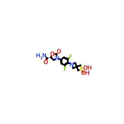 NC(=O)[C@H]1CN(c2cc(F)c(N3CC4(C3)CS(O)(O)C4)c(F)c2)C(=O)O1